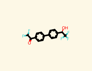 O=C(c1ccc(-c2ccc([C@@H](O)C(F)(F)F)cc2)cc1)C(F)F